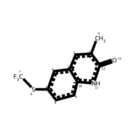 Cc1cc2cc(SC(F)(F)F)ccc2[nH]c1=O